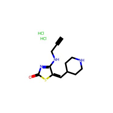 C#CCNC1=NC(=O)SC1=CC1CCNCC1.Cl.Cl